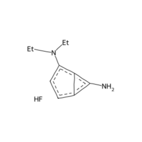 CCN(CC)c1ccc2c(N)c1-2.F